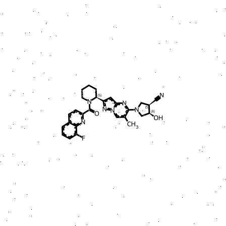 Cc1cn2nc([C@@H]3CCCCN3C(=O)c3ccc4cccc(F)c4n3)cc2nc1N1C[C@@H](C#N)[C@@H](O)C1